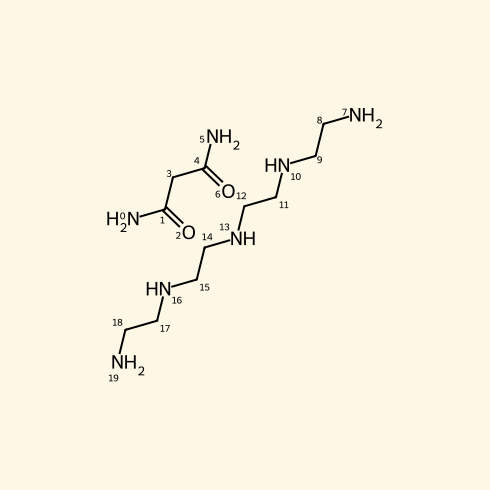 NC(=O)CC(N)=O.NCCNCCNCCNCCN